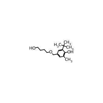 Cc1cc(COCCCCO)cc(C(C)(C)C)c1O